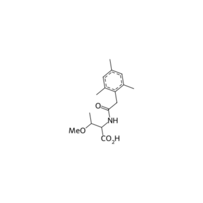 COC(C)C(NC(=O)Cc1c(C)cc(C)cc1C)C(=O)O